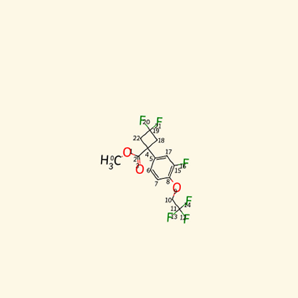 COC(=O)C1(c2ccc(OCC(F)(F)F)c(F)c2)CC(F)(F)C1